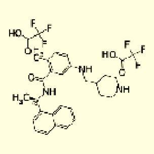 Cc1ccc(NCC2CCNCC2)cc1C(=O)N[C@H](C)c1cccc2ccccc12.O=C(O)C(F)(F)F.O=C(O)C(F)(F)F